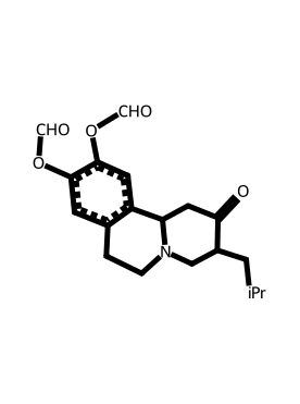 CC(C)CC1CN2CCc3cc(OC=O)c(OC=O)cc3C2CC1=O